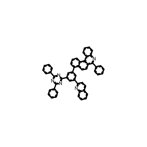 c1ccc(-c2nc(-c3ccccc3)nc(-c3cc(-c4ccc5ccccc5n4)cc(-c4cccc5c4ccc4c(-c6ccccc6)nc6ccccc6c45)c3)n2)cc1